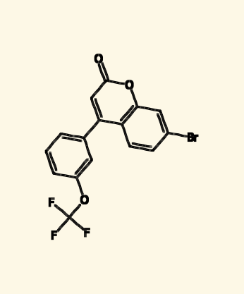 O=c1cc(-c2cccc(OC(F)(F)F)c2)c2ccc(Br)cc2o1